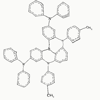 Cc1ccc(N2c3cc(N(c4c#cccc4)c4ccccc4)ccc3B3c4ccc(N(c5ccccc5)c5ccccc5)cc4N(c4ccc(C)cc4)c4cccc2c43)cc1